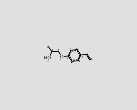 C=Cc1ccc(OCC(C)O)cc1